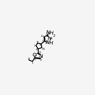 CCc1cnc(C2CCC(c3cc(N)n[nH]3)C2)o1